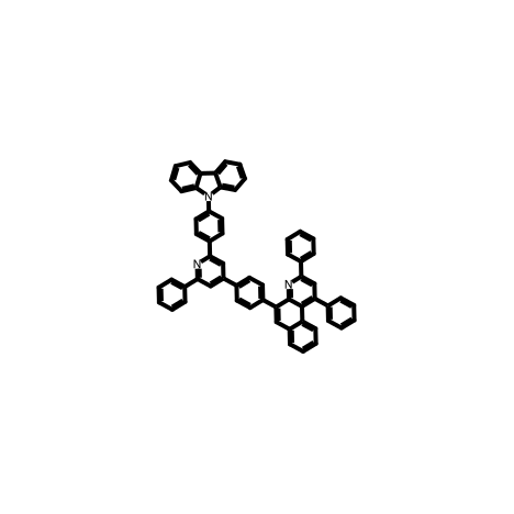 c1ccc(-c2cc(-c3ccc(-c4cc5ccccc5c5c(-c6ccccc6)cc(-c6ccccc6)nc45)cc3)cc(-c3ccc(-n4c5ccccc5c5ccccc54)cc3)n2)cc1